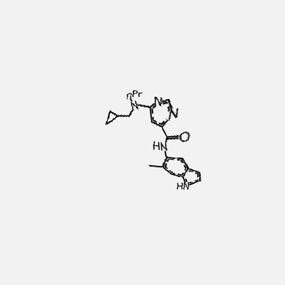 CCCN(CC1CC1)c1cc(C(=O)Nc2cc3cc[nH]c3cc2C)ncn1